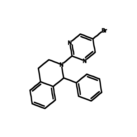 Brc1cnc(N2CCc3ccccc3C2c2ccccc2)nc1